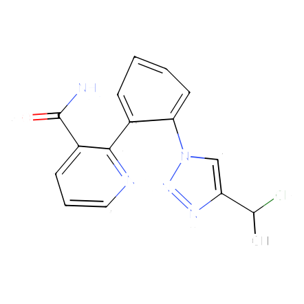 CC(Cl)c1cn(-c2ccccc2-c2ncccc2C(N)=O)nn1